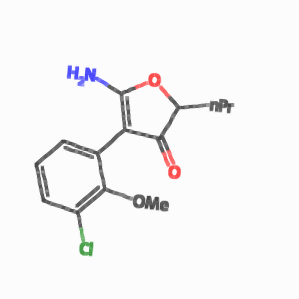 CCCC1OC(N)=C(c2cccc(Cl)c2OC)C1=O